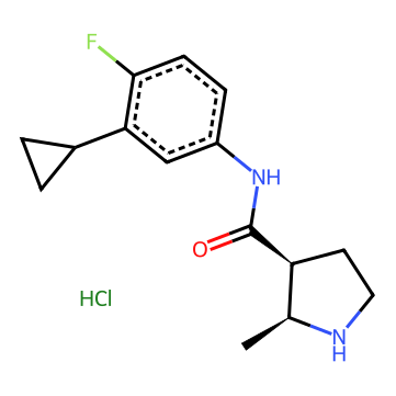 C[C@@H]1NCC[C@@H]1C(=O)Nc1ccc(F)c(C2CC2)c1.Cl